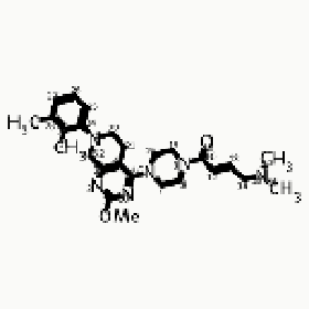 COc1nc2c(c(N3CCN(C(=O)/C=C/CN(C)C)CC3)n1)CCN(c1cccc(C)c1C)C2